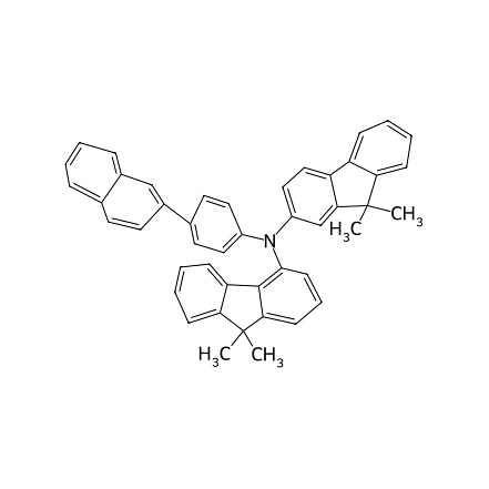 CC1(C)c2ccccc2-c2ccc(N(c3ccc(-c4ccc5ccccc5c4)cc3)c3cccc4c3-c3ccccc3C4(C)C)cc21